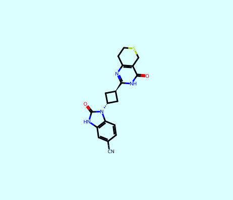 N#Cc1ccc2c(c1)[nH]c(=O)n2[C@H]1C[C@H](c2nc3c(c(=O)[nH]2)CSCC3)C1